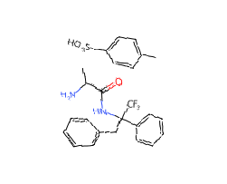 CC(N)C(=O)NC(Cc1ccccc1)(c1ccccc1)C(F)(F)F.Cc1ccc(S(=O)(=O)O)cc1